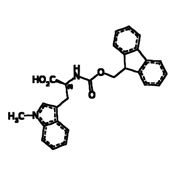 Cn1cc(C[C@H](NC(=O)OCC2c3ccccc3-c3ccccc32)C(=O)O)c2ccccc21